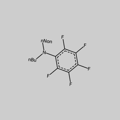 CCCCCCCCCN(CCCC)c1c(F)c(F)c(F)c(F)c1F